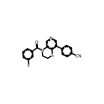 N#Cc1ccc(-c2cncc3c2SCCN3C(=O)c2cccc(F)c2)cc1